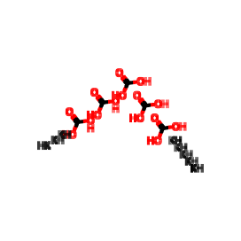 O=C(O)O.O=C(O)O.O=C(O)O.O=C(O)O.O=C(O)O.[KH].[KH].[KH].[KH].[KH].[KH].[KH].[KH]